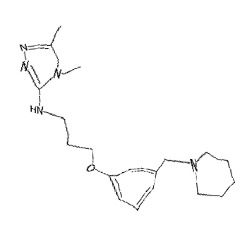 Cc1nnc(NCCCOc2cccc(CN3CCCCC3)c2)n1C